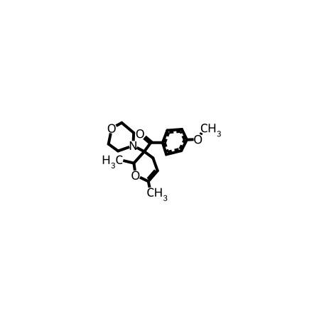 COc1ccc(C(=O)C2(N3CCOCC3)CC=C(C)OC2C)cc1